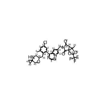 Cc1cc(Cl)cc(-c2ncnn3cc(CN4C(=O)C5C(C)(C)C5(OC(=O)C(F)(F)F)C4=O)cc23)c1CC1CNC2(CC2)CO1